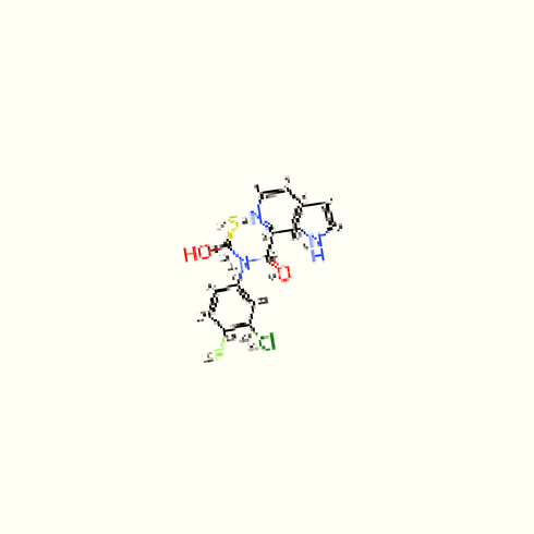 O=C(c1nccc2cc[nH]c12)N(C(O)=S)c1ccc(F)c(Cl)c1